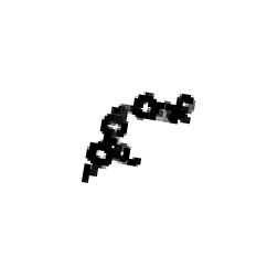 CCOc1cc(F)ccc1N1CCN(Cc2ccc(CNC(C)=O)cc2)CC1